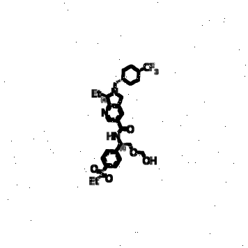 CC[C@@H]1c2ncc(C(=O)N[C@@H](COCO)c3ccc(S(=O)(=O)CC)cc3)cc2CN1C[C@H]1CC[C@H](C(F)(F)F)CC1